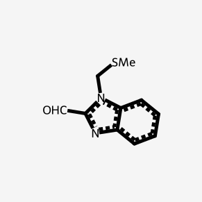 CSCn1c(C=O)nc2ccccc21